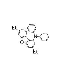 CCc1ccc2c(c1)oc1cc(CC)cc(N(c3ccccc3)c3ccccc3)c12